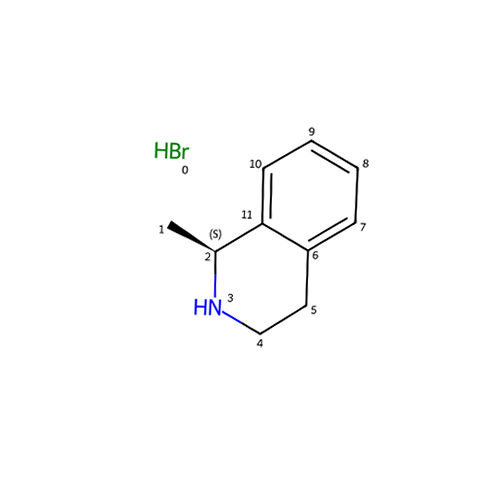 Br.C[C@@H]1NCCc2ccccc21